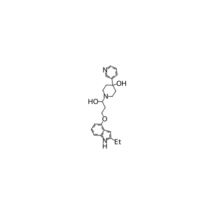 CCc1cc2c(OCCC(O)N3CCC(O)(c4cccnc4)CC3)cccc2[nH]1